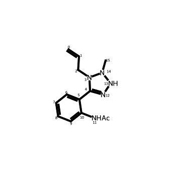 C=CCN1C(c2ccccc2NC(C)=O)=NNN1C